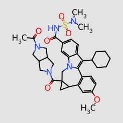 COc1ccc2c(c1)C1CC1(C(=O)N1CC3CN(C(C)=O)CC3C1)Cn1c-2c(C2CCCCC2)c2ccc(C(=O)NS(=O)(=O)N(C)C)cc21